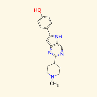 CN1CCC(c2ncc3[nH]c(-c4ccc(O)cc4)cc3n2)CC1